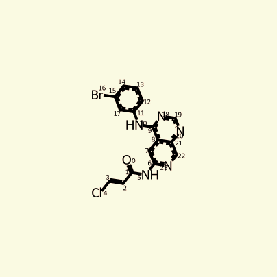 O=C(/C=C/Cl)Nc1cc2c(Nc3cccc(Br)c3)ncnc2cn1